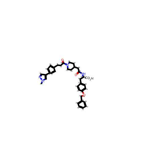 Cn1cc(-c2ccc(CCC(=O)N3CCC(CC(=O)N[C@@H](Cc4ccc(OCc5ccccc5)cc4)C(=O)O)CC3)cc2)cn1